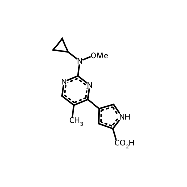 CON(c1ncc(C)c(-c2c[nH]c(C(=O)O)c2)n1)C1CC1